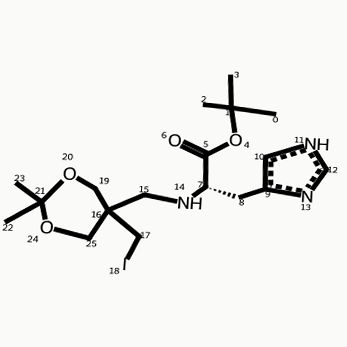 CC(C)(C)OC(=O)[C@H](Cc1c[nH]cn1)NCC1(CI)COC(C)(C)OC1